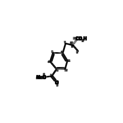 COC(=O)c1ccc(C[C@@H](C)C(=O)O)cc1